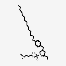 CCCCCCCCCCCCCCOc1ccc(CC(COP(=O)(O)OCCCN(C)C)CC(=O)CC)cc1